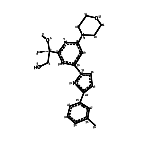 CO[C@](C)(CO)c1nc(N2CCOCC2)cc(-n2ccc(-c3cccc(C)c3)n2)n1